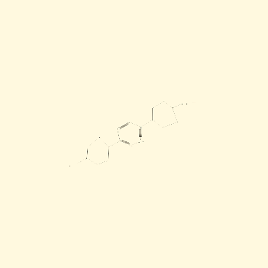 CCCCCC1CCC(c2ccc(C3CCC(CCC)CC3)nn2)CC1